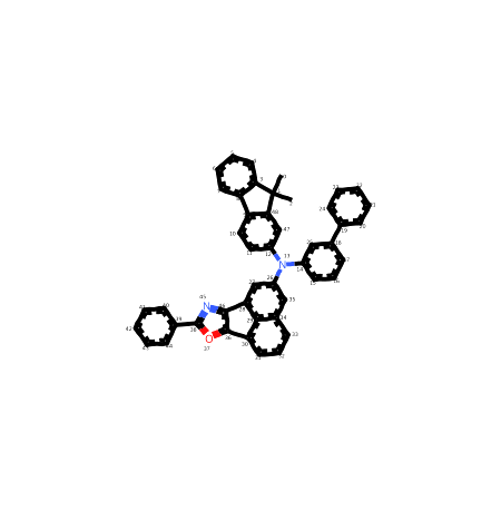 CC1(C)c2ccccc2-c2ccc(N(c3cccc(-c4ccccc4)c3)c3cc4c5c(cccc5c3)-c3oc(-c5ccccc5)nc3-4)cc21